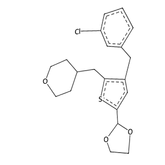 Clc1cccc(Cc2cc(C3OCCO3)sc2CC2CCOCC2)c1